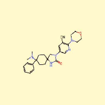 CN(C)C1(c2ccccc2)CCC2(CC1)CN(c1cnc(N3CCOCC3)c(C#N)c1)C(=O)N2